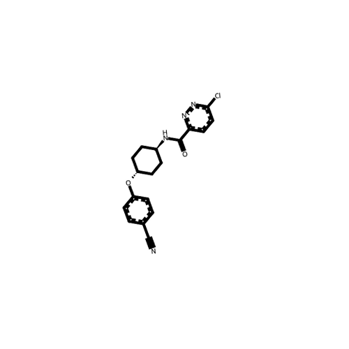 N#Cc1ccc(O[C@H]2CC[C@H](NC(=O)c3ccc(Cl)nn3)CC2)cc1